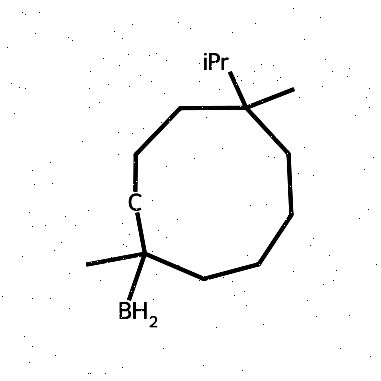 BC1(C)CCCCC(C)(C(C)C)CCC1